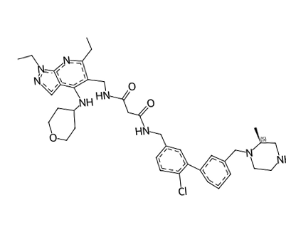 CCc1nc2c(cnn2CC)c(NC2CCOCC2)c1CNC(=O)CC(=O)NCc1ccc(Cl)c(-c2cccc(CN3CCNC[C@@H]3C)c2)c1